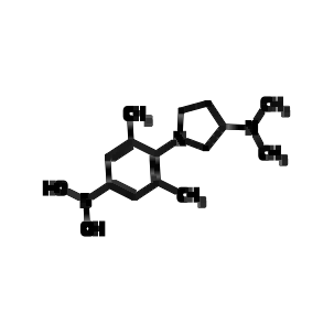 Cc1cc(B(O)O)cc(C)c1N1CCC(N(C)C)C1